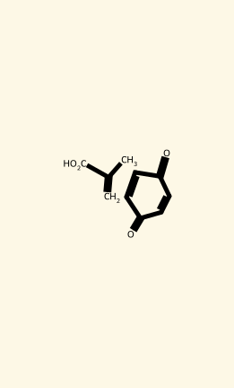 C=C(C)C(=O)O.O=C1C=CC(=O)C=C1